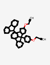 C#CCOc1ccc(C2(c3ccc(OCC#C)cc3CC3c4ccccc4-c4ccccc43)c3ccccc3-c3ccccc32)cc1